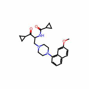 COc1ccc2cccc(N3CCN(CC(NC(=O)C4CC4)C(=O)C4CC4)CC3)c2c1